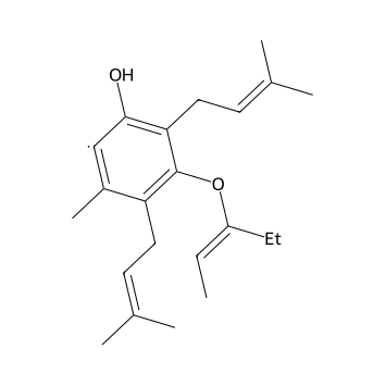 CC=C(CC)Oc1c(CC=C(C)C)c(C)[c]c(O)c1CC=C(C)C